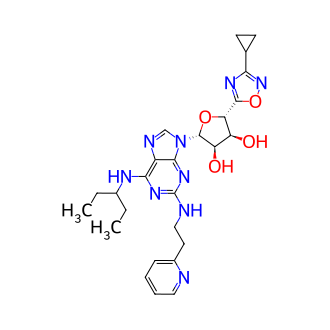 CCC(CC)Nc1nc(NCCc2ccccn2)nc2c1ncn2[C@@H]1O[C@H](c2nc(C3CC3)no2)[C@@H](O)[C@H]1O